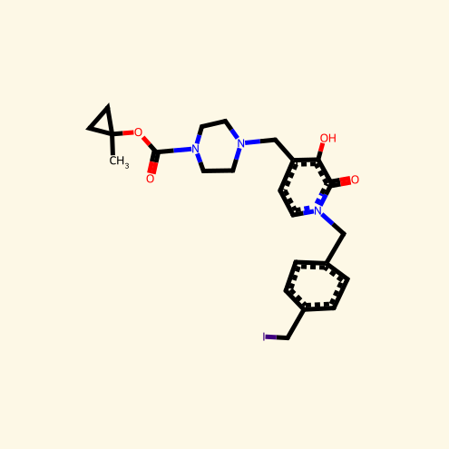 CC1(OC(=O)N2CCN(Cc3ccn(Cc4ccc(CI)cc4)c(=O)c3O)CC2)CC1